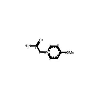 [CH2]Sc1cc[n+](CC(N)=O)cc1